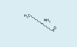 CCCCCCCCC=CCCCCCC1CC1=O.N